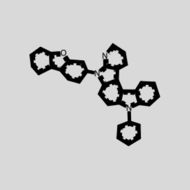 c1ccc(-n2c3ccccc3c3c4c5cccnc5n(-c5ccc6c(c5)oc5ccccc56)c4ccc32)cc1